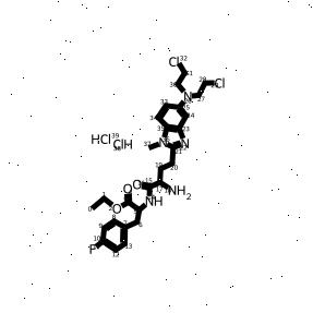 CCOC(=O)C(Cc1ccc(F)cc1)NC(=O)C(N)CCc1nc2cc(N(CCCl)CCCl)ccc2n1C.Cl.Cl